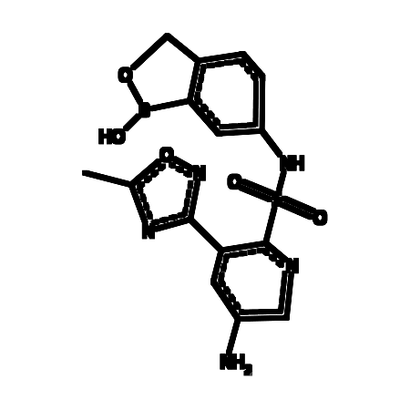 Cc1nc(-c2cc(N)cnc2S(=O)(=O)Nc2ccc3c(c2)B(O)OC3)no1